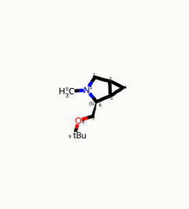 CN1CC2CC2[C@H]1COC(C)(C)C